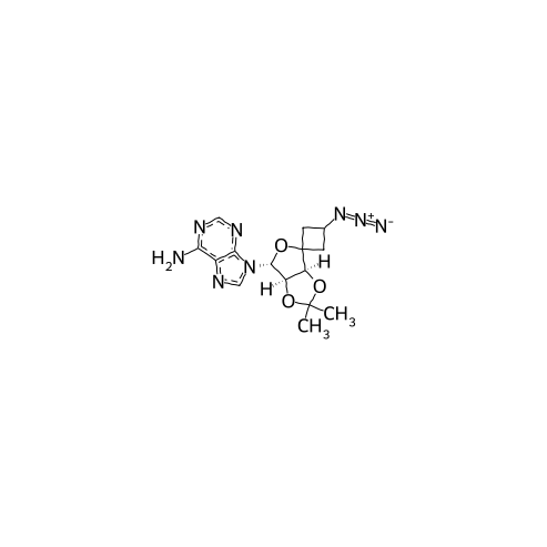 CC1(C)O[C@H]2[C@H](n3cnc4c(N)ncnc43)OC3(CC(N=[N+]=[N-])C3)[C@H]2O1